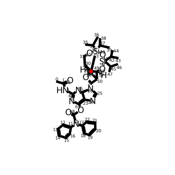 CC(=O)Nc1nc(OC(=O)N(c2ccccc2)c2ccccc2)c2ncn([C@@H]3O[C@H]4C5CO[Si](C(C)C)(C(C)C)O[Si](C(C)C)(C(C)C)O[C@@H]4C3ON5C)c2n1